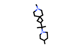 CC1CCN(C(C)(C)C2CC3(CCN(C)CC3)C2)CC1